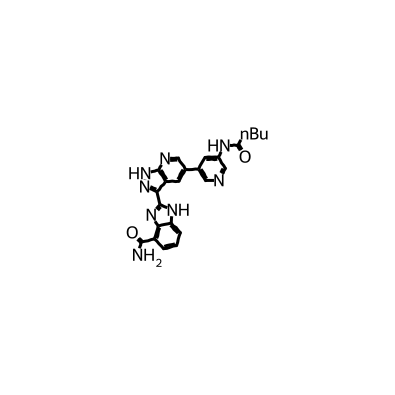 CCCCC(=O)Nc1cncc(-c2cnc3[nH]nc(-c4nc5c(C(N)=O)cccc5[nH]4)c3c2)c1